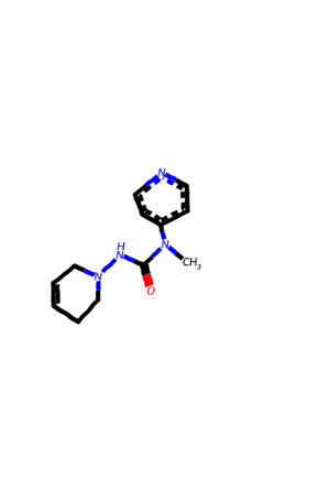 CN(C(=O)NN1CC=CCC1)c1ccncc1